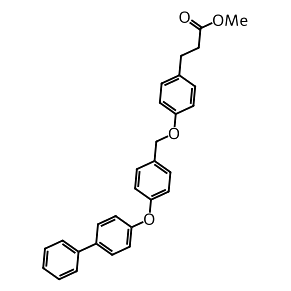 COC(=O)CCc1ccc(OCc2ccc(Oc3ccc(-c4ccccc4)cc3)cc2)cc1